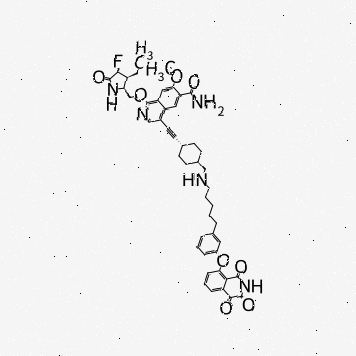 CC[C@@H]1[C@H](F)C(=O)N[C@@H]1COc1ncc(C#C[C@H]2CC[C@H](CNCCCCCc3cccc(Oc4cccc5c4C(=O)NC(=O)C5=O)c3)CC2)c2cc(C(N)=O)c(OC)cc12